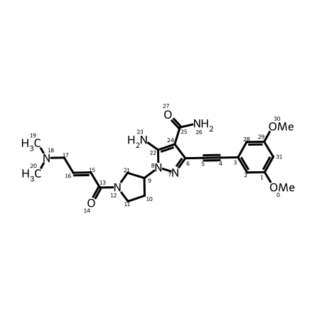 COc1cc(C#Cc2nn(C3CCN(C(=O)/C=C/CN(C)C)C3)c(N)c2C(N)=O)cc(OC)c1